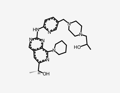 CC(O)CN1CCN(Cc2ccc(Nc3ncc4cc([C@@H](C)O)nc(N5CCCCC5)c4n3)nc2)CC1